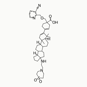 CC1(C)C(C2=CCC(COCc3ncccc3C#N)(C(=O)O)CC2)=CCC2(C)[C@H]3CCC4C(CCC5(NCCN6CCS(=O)(=O)CC6)CCC[C@H]45)C3CC[C@@H]12